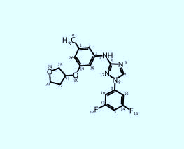 Cc1cc(Nc2ncn(-c3cc(F)cc(F)c3)n2)cc(OC2CCOC2)c1